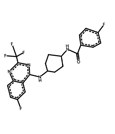 O=C(NC1CCC(Nc2nc(C(F)(F)F)nc3ccc(F)cc23)CC1)c1ccc(F)cc1